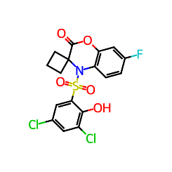 O=C1Oc2cc(F)ccc2N(S(=O)(=O)c2cc(Cl)cc(Cl)c2O)C12CCC2